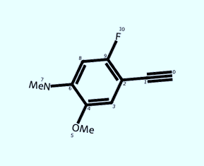 C#Cc1cc(OC)c(NC)cc1F